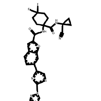 N#CC1(NC(=O)C2(NC(=O)c3cc4ccc(-c5csc(-n6cncn6)n5)cc4o3)CCC(F)(F)CC2)CC1